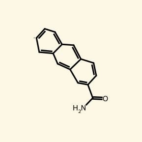 NC(=O)c1ccc2cc3cc[c]cc3cc2c1